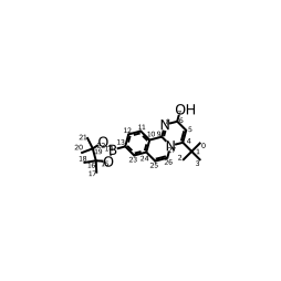 CC(C)(C)C1=CC(O)N=C2c3ccc(B4OC(C)(C)C(C)(C)O4)cc3C=CN12